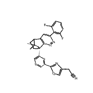 CC1(C)C2CC[C@]1(c1cncc(-c3nc(CC#N)co3)n1)c1nnc(-c3c(F)cccc3F)cc12